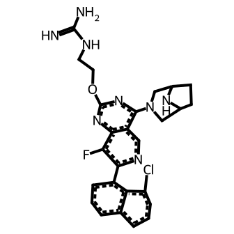 N=C(N)NCCOc1nc(N2CC3CCC(C2)N3)c2cnc(-c3cccc4cccc(Cl)c34)c(F)c2n1